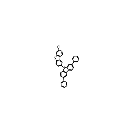 Clc1ccc2c(c1)sc1ccc(-n3c4ccc(-c5ccccc5)cc4c4ccc(-c5ccccc5)cc43)cc12